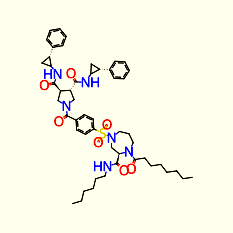 CCCCCCCC(=O)N1CCCN(S(=O)(=O)c2ccc(C(=O)N3C[C@@H](C(=O)N[C@H]4C[C@@H]4c4ccccc4)[C@H](C(=O)N[C@H]4C[C@@H]4c4ccccc4)C3)cc2)C[C@@H]1C(=O)NCCCCCC